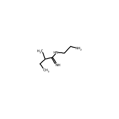 CCC(C)C(=N)NCCN